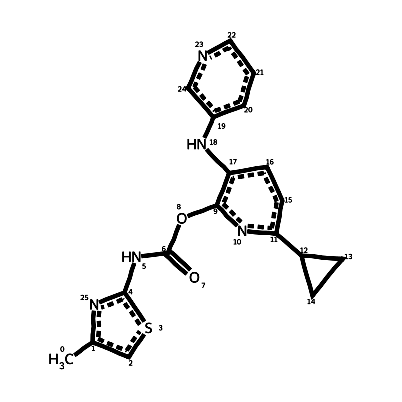 Cc1csc(NC(=O)Oc2nc(C3CC3)ccc2Nc2cccnc2)n1